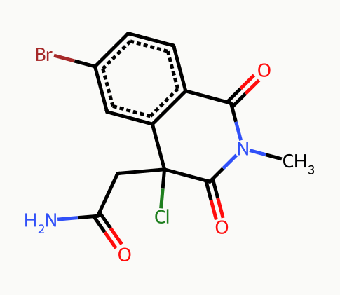 CN1C(=O)c2ccc(Br)cc2C(Cl)(CC(N)=O)C1=O